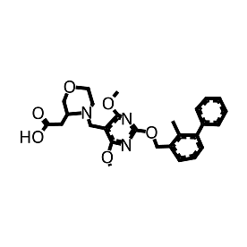 COc1nc(OCc2cccc(-c3ccccc3)c2C)nc(OC)c1CN1CCOCC1CC(=O)O